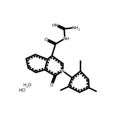 Cc1cc(C)c(-n2cc(C(=O)NC(=N)N)c3ccccc3c2=O)c(C)c1.Cl.O